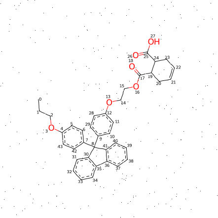 CCCOc1ccc(C2(c3ccc(OCCOC(=O)C4CC=CCC4C(=O)O)cc3)c3ccccc3-c3ccccc32)cc1